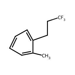 Cc1ccccc1CCC(F)(F)F